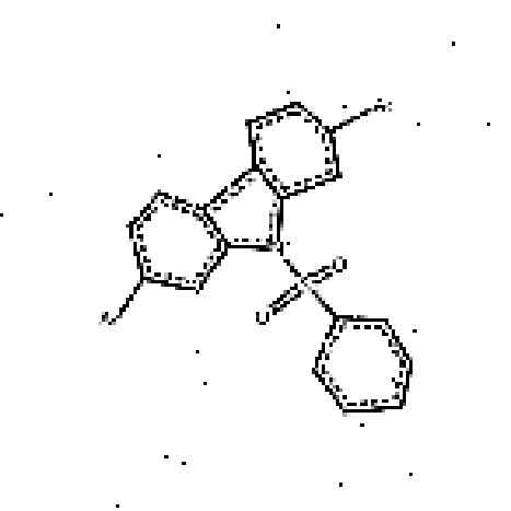 CC(=O)c1ccc2c3ccc(C(C)=O)cc3n(S(=O)(=O)c3ccccc3)c2c1